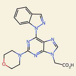 O=C(O)Cn1cnc2c(-n3ncc4ccccc43)nc(N3CCOCC3)nc21